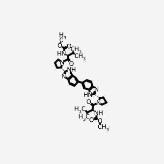 COC(=O)N[C@H](C(=O)N1CCC[C@H]1c1nc2ccc(-c3ccc4nc([C@@H]5CCCN5C(=O)[C@@H](NC(=O)OC)C(C)C)[nH]c4c3)cc2[nH]1)C(C)C